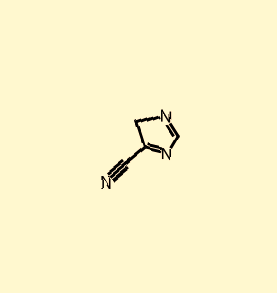 N#CC1=NC=NC1